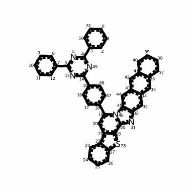 c1ccc(-c2nc(-c3ccccc3)nc(-c3ccc(-c4cc5c6ccccc6sc5c5nc6cc7cc8ccccc8cc7cc6n45)cc3)n2)cc1